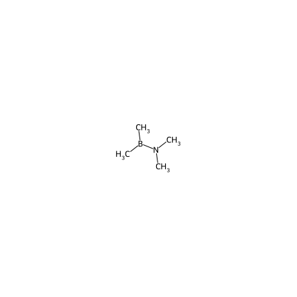 CB(C)N(C)C